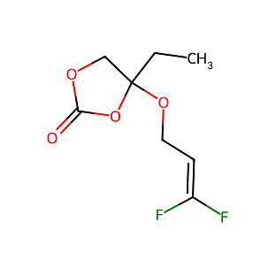 CCC1(OCC=C(F)F)COC(=O)O1